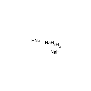 N.[NaH].[NaH].[NaH]